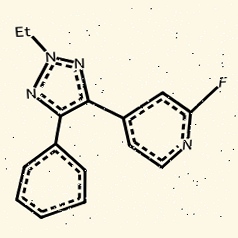 CCn1nc(-c2ccccc2)c(-c2ccnc(F)c2)n1